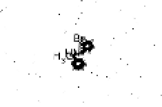 CC(NCc1cccc(Br)n1)c1ccccc1